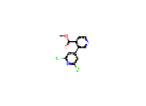 COC(=O)c1ccncc1-c1cc(Cl)nc(Cl)c1